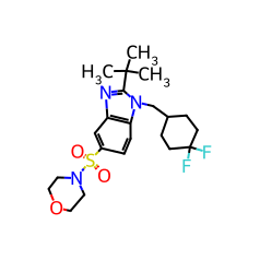 CC(C)(C)c1nc2cc(S(=O)(=O)N3CCOCC3)ccc2n1CC1CCC(F)(F)CC1